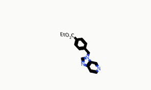 CCOC(=O)c1ccc(Cn2cnc3ccncc32)cc1